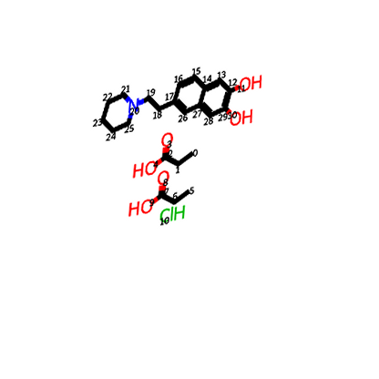 CCC(=O)O.CCC(=O)O.Cl.Oc1cc2ccc(CCN3CCCCC3)cc2cc1O